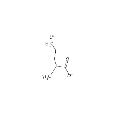 CCCC(C)C(=O)[O-].[Li+]